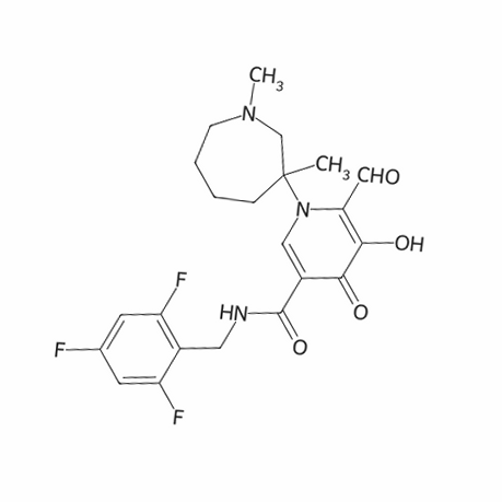 CN1CCCCC(C)(n2cc(C(=O)NCc3c(F)cc(F)cc3F)c(=O)c(O)c2C=O)C1